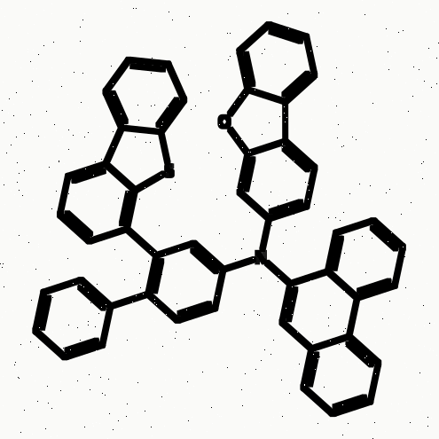 c1ccc(-c2ccc(N(c3ccc4c(c3)oc3ccccc34)c3cc4ccccc4c4ccccc34)cc2-c2cccc3c2sc2ccccc23)cc1